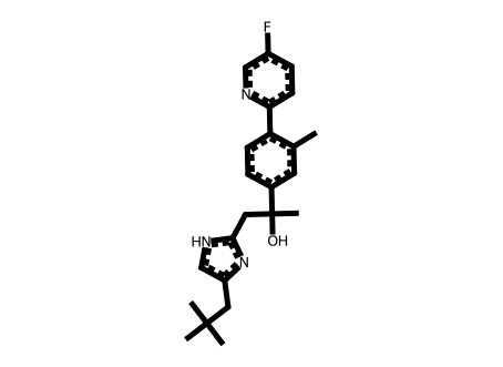 Cc1cc(C(C)(O)Cc2nc(CC(C)(C)C)c[nH]2)ccc1-c1ccc(F)cn1